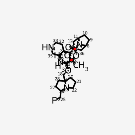 CC(C)(C)OC(=O)N1C2CCC1CN(c1nc(OCC34CCCN3C(CF)CC4)nc3c1CCNC3)C2